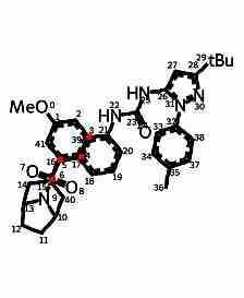 COc1cccc(S(=O)(=O)N2C3CCC2CC(Cc2cccc(NC(=O)Nc4cc(C(C)(C)C)nn4-c4ccc(C)cc4)c2)C3)c1